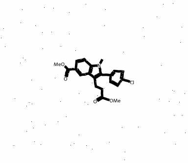 COC(=O)CCc1c(-c2ccc(Cl)cc2)n(C)c2ccc(C(=O)OC)cc12